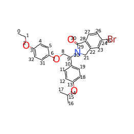 CCOc1ccc(OCC(c2ccc(OC(C)C)cc2)N2Cc3cc(Br)ccc3C2=O)cc1